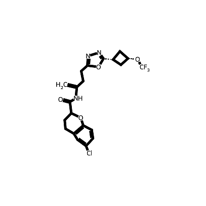 C=C(CCc1nnc([C@H]2C[C@@H](OC(F)(F)F)C2)o1)NC(=O)C1CCc2cc(Cl)ccc2O1